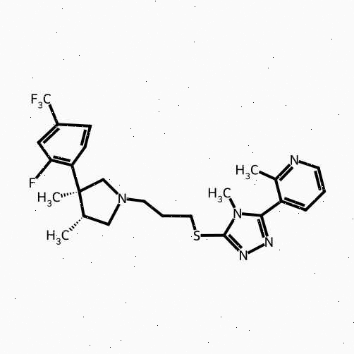 Cc1ncccc1-c1nnc(SCCCN2C[C@H](C)[C@@](C)(c3ccc(C(F)(F)F)cc3F)C2)n1C